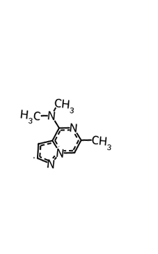 Cc1cn2n[c]cc2c(N(C)C)n1